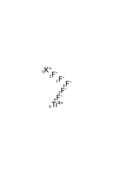 [F-].[F-].[F-].[F-].[F-].[K+].[Ti+4]